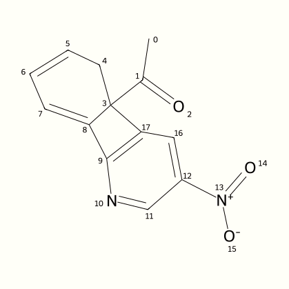 CC(=O)C12CC=CC=C1c1ncc([N+](=O)[O-])cc12